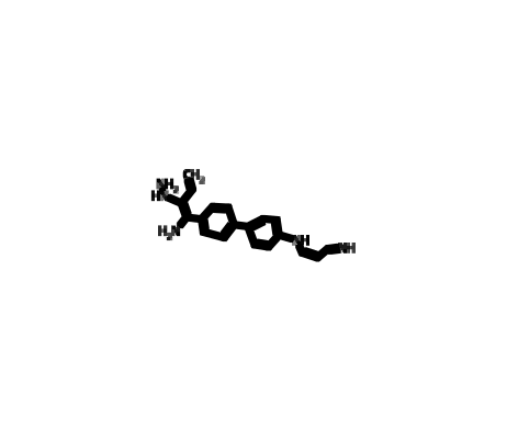 C=C/C(NN)=C(/N)c1ccc(-c2ccc(N/C=C\C=N)cc2)cc1